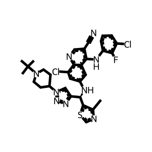 Cc1ncsc1[C@H](Nc1cc(Cl)c2ncc(C#N)c(Nc3cccc(Cl)c3F)c2c1)c1cn(C2CCN(C(C)(C)C)CC2)nn1